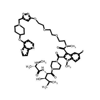 CN[C@@H](C)C(=O)N[C@H](C(=O)N1CCN(C(=O)c2c(C(=O)N(C)CCOCCOCCOc3cc(CN4CCC(Oc5ccnc6ccsc56)CC4)on3)c3cc(F)ccc3n2C)CC1)[C@H](O)C(C)C